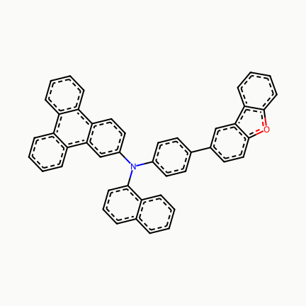 c1ccc2c(N(c3ccc(-c4ccc5oc6ccccc6c5c4)cc3)c3ccc4c5ccccc5c5ccccc5c4c3)cccc2c1